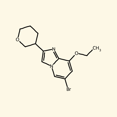 CCOc1cc(Br)cn2cc(C3CCCOC3)nc12